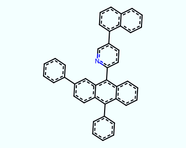 c1ccc(-c2ccc3c(-c4ccccc4)c4ccccc4c(-c4ccc(-c5cccc6ccccc56)cn4)c3c2)cc1